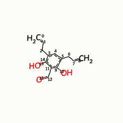 C=CCc1cc(CC=C)c(O)c(C=O)c1O